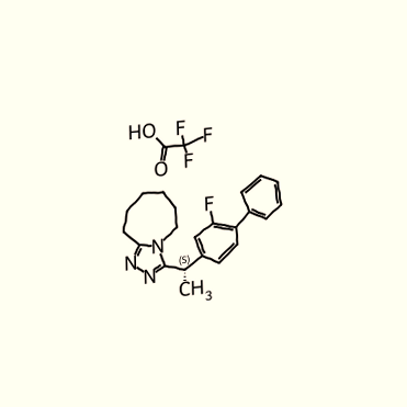 C[C@@H](c1ccc(-c2ccccc2)c(F)c1)c1nnc2n1CCCCCC2.O=C(O)C(F)(F)F